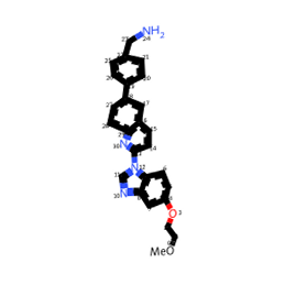 COCCOc1ccc2c(c1)ncn2-c1ccc2cc(-c3ccc(CN)cc3)ccc2n1